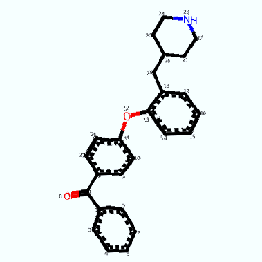 O=C(c1ccccc1)c1ccc(Oc2ccccc2CC2CCNCC2)cc1